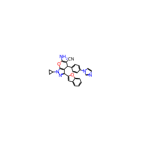 N#CC1=C(N)Oc2c(c(-c3cc4ccccc4o3)nn2C2CC2)C1c1ccc(-n2ccnc2)cc1